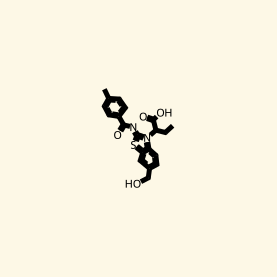 CCC(C(=O)O)n1c(=NC(=O)c2ccc(C)cc2)sc2cc(CO)ccc21